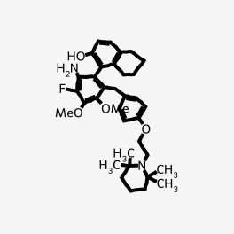 COc1c(F)c(N)c(-c2c(O)ccc3c2CCCC3)c(Cc2ccc(OCCN3C(C)(C)CCCC3(C)C)cc2)c1OC